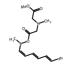 CCC/C=C/C=C/C=C\B(C)OC(=O)CN(C)CC(=O)OC